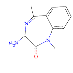 CC1=NC(N)C(=O)N(C)c2ccccc21